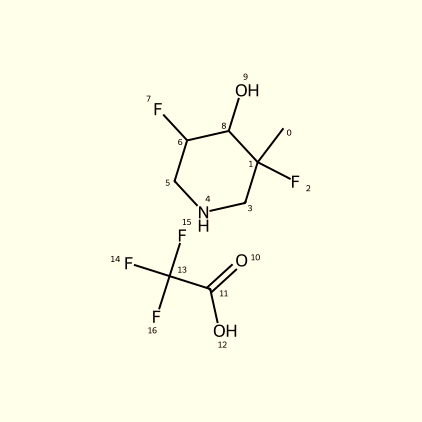 CC1(F)CNCC(F)C1O.O=C(O)C(F)(F)F